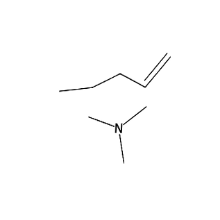 C=CCCC.CN(C)C